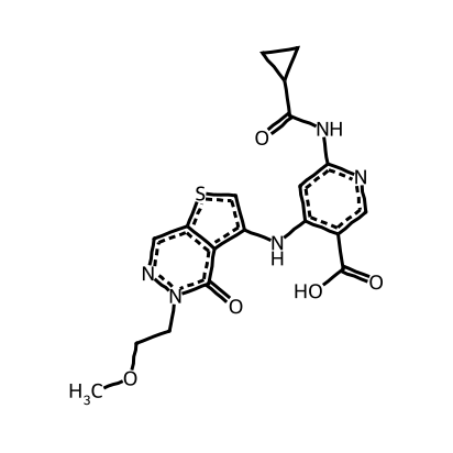 COCCn1ncc2scc(Nc3cc(NC(=O)C4CC4)ncc3C(=O)O)c2c1=O